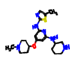 Cc1cnc(Nc2cc(OC3CCN(C)CC3)cc(NC3CCCNC3)n2)s1